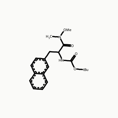 CON(C)C(=O)C(Cc1ccc2ccccc2c1)NC(=O)OC(C)(C)C